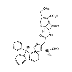 CC(=O)OCC1=C(C(=O)O)N2C(=O)[C@H](NC(=O)Cc3csc(NC(c4ccccc4)(c4ccccc4)c4ccccc4)n3)[C@H]2SC1.CC(C)(C)NC=O